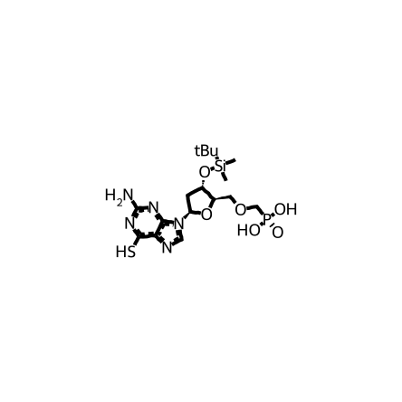 CC(C)(C)[Si](C)(C)O[C@H]1C[C@H](n2cnc3c(S)nc(N)nc32)O[C@@H]1COCP(=O)(O)O